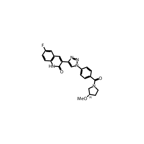 CO[C@@H]1CCN(C(=O)c2ccc(-n3cc(-c4cc5cc(F)ccc5[nH]c4=O)nn3)cc2)C1